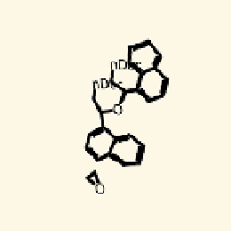 C1CO1.CCCCCCCCCCCC(OC(CCCCCCCCCCC)c1cccc2ccccc12)c1cccc2ccccc12